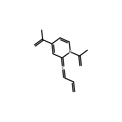 C=CC=C=C1C=C(C(=C)C)C=CN1C(=C)C